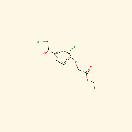 CCOC(=O)COc1ccc(C(=O)CBr)cc1Cl